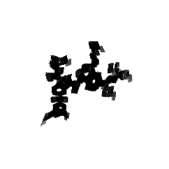 CCOC(=O)n1nc(NC(=O)c2ccc(N(C)CCN(C)C)cc2NCCOC)c2c1CCN(S(=O)(=O)c1cc(F)cc(F)c1)C2